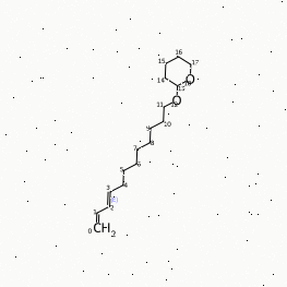 C=C/C=C/CCCCCCCCOC1CCCCO1